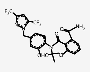 Cc1cc(Cn2nc(C(F)(F)F)cc2C(F)(F)F)ccc1N(C(=O)c1c(Cl)cccc1C(N)=O)C(C)(C)C=O